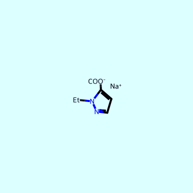 CCn1nccc1C(=O)[O-].[Na+]